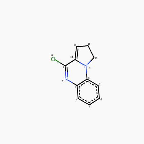 ClC1=Nc2ccccc2N2CCC=C12